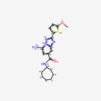 COc1ccc(-c2nc3cc(C(=O)NC4CCCCCC4)cc(N)n3n2)s1